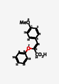 COc1ccc(C=C(Oc2ccccc2)C(=O)O)cc1